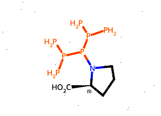 O=C(O)[C@@H]1CCCN1P(P(P)P)P(P)P